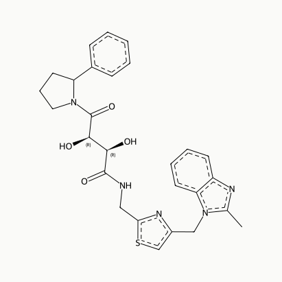 Cc1nc2ccccc2n1Cc1csc(CNC(=O)[C@H](O)[C@@H](O)C(=O)N2CCCC2c2ccccc2)n1